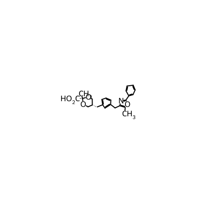 Cc1oc(-c2ccccc2)nc1Cc1cccc(C[C@H]2CO[C@@](C)(C(=O)O)OC2)c1